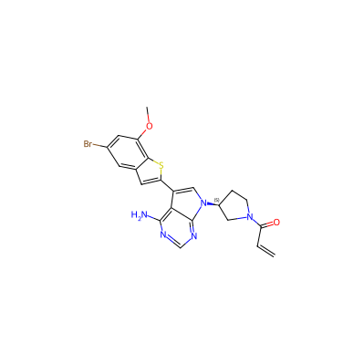 C=CC(=O)N1CC[C@H](n2cc(-c3cc4cc(Br)cc(OC)c4s3)c3c(N)ncnc32)C1